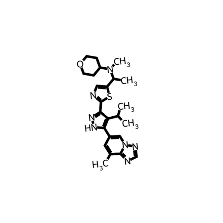 Cc1cc(-c2[nH]nc(-c3ncc(C(C)N(C)C4CCOCC4)s3)c2C(C)C)cn2ncnc12